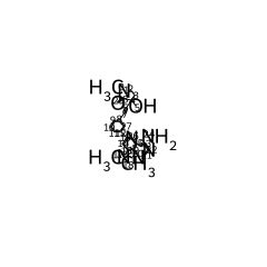 CN1CCC(O)(C#Cc2cccc(-c3cc(N(C)C)c4ncnc(N)c4n3)c2)C1=O